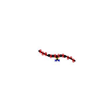 C=CC(=O)OCCCC(=O)CCC(=O)OCCc1ccc(OC(=O)C2CCC(C(=O)Oc3cc(C)c(OC(=O)C4CCC(C(=O)Oc5ccc(CCOC(=O)CCC(=O)OCCOC(=O)C=C)cc5)CC4)c4c3SC(=C(C#N)C#N)S4)CC2)cc1